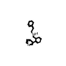 C1=C(c2cccnc2)C(CNCCc2ccccc2)CCC1